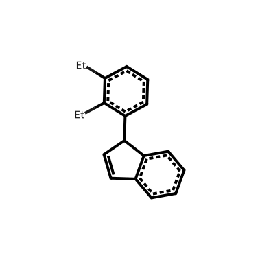 CCc1cccc([C]2C=Cc3ccccc32)c1CC